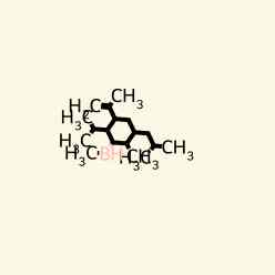 C=C(C)C1CC(CC(C)C)C(C)C(BC)C1C(C)C